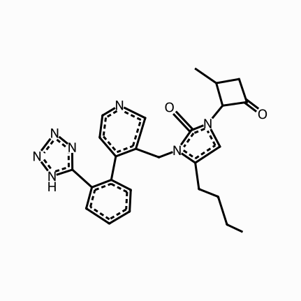 CCCCc1cn(C2C(=O)CC2C)c(=O)n1Cc1cnccc1-c1ccccc1-c1nnn[nH]1